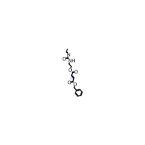 CC=NC(=O)NCCOC(=O)/C=C/C(=O)OCc1ccccc1